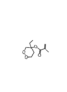 C=C(C)C(=O)OC1(CC)CCOOC1